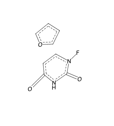 O=c1ccn(F)c(=O)[nH]1.c1ccoc1